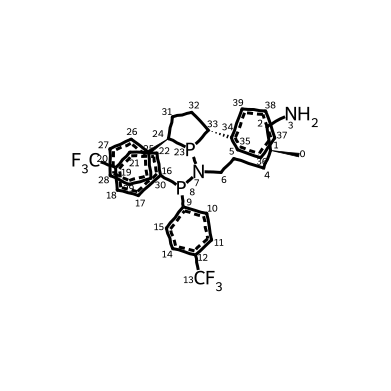 C[C@H](CN)CCCN(P(c1ccc(C(F)(F)F)cc1)c1ccc(C(F)(F)F)cc1)P1[C@@H](c2ccccc2)CC[C@@H]1c1ccccc1